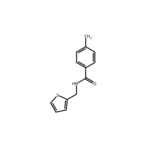 Cc1ccc(C(=O)NCc2cccs2)cc1